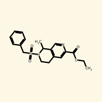 CCOC(=O)c1cc2c(cn1)C(C)N(S(=O)(=O)Cc1ccccc1)CC2